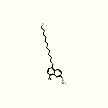 CCCCCCCCCCCCOc1ccc(O)c2cc(OC)ccc12